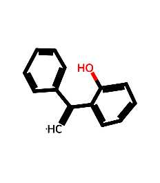 [CH]=C(c1ccccc1)c1ccccc1O